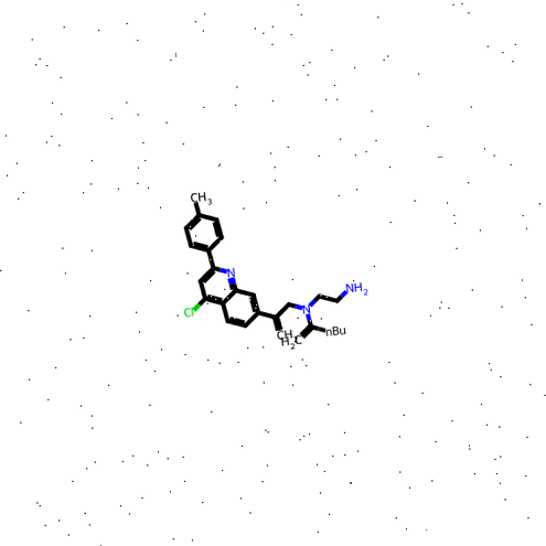 C=C(CN(CCN)C(=C)CCCC)c1ccc2c(Cl)cc(-c3ccc(C)cc3)nc2c1